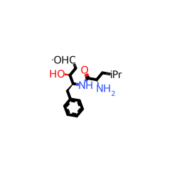 CC(C)C[C@H](N)C(=O)N[C@@H](Cc1ccccc1)[C@@H](O)C[C]=O